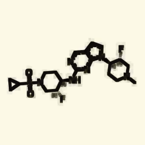 CN1CC[C@@H](n2ccc3cnc(N[C@@H]4CCN(S(=O)(=O)C5CC5)C[C@H]4F)nc32)[C@H](F)C1